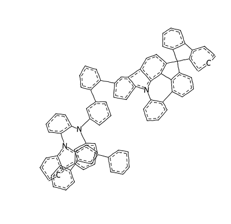 c1ccc(-c2cc(-c3ccccc3)cc(N(c3cccc(-c4ccccc4-c4ccc5c(c4)c4ccc6c7c4n5-c4ccccc4-c4cccc(c4-7)C64c5ccccc5-c5ccccc54)c3)c3ccccc3-n3c4ccccc4c4ccccc43)c2)cc1